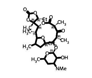 CC[C@H]1OC(=O)O[C@@]1(C)[C@@H]1OC(=O)[C@H](C)C(=O)[C@H](C)[C@@H](O[C@@H]2OC(C)CC(NC)C2O)[C@@]2(C)CC(C)C(O2)[C@@H]1C